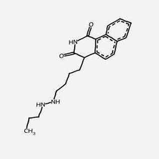 CCCNNCCCCC1C(=O)NC(=O)c2c1ccc1ccccc21